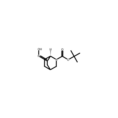 CC(C)(C)OC(=O)N1CC2CC[C@@H]1C(=NO)C2